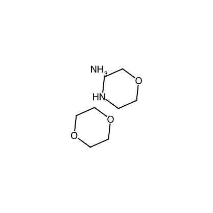 C1COCCN1.C1COCCO1.N